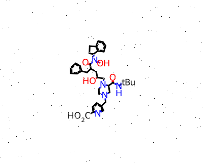 CC(C)(C)NC(=O)C1CN(Cc2ccc(C(=O)O)nc2)CCN1CC(O)CC(Cc1ccccc1)C(=O)N(O)C1CCc2ccccc21